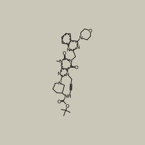 CC#CCn1c(N2CCCC(NC(=O)OC(C)(C)C)C2)nc2c1c(=O)n(Cc1nc(N3CCOCC3)c3ccccc3n1)c(=O)n2C